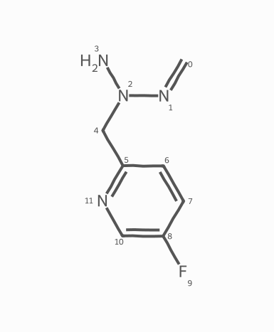 C=NN(N)Cc1ccc(F)cn1